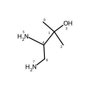 CC(C)(O)C(N)CN